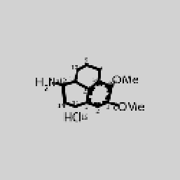 COc1cc2c3c(c1OC)CCCC3C(N)CC2.Cl